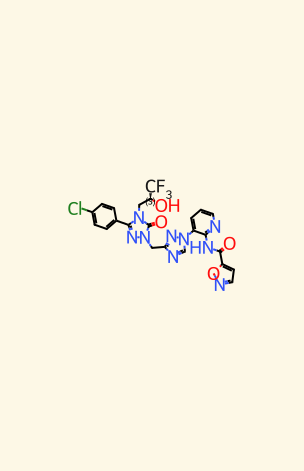 O=C(Nc1ncccc1-n1cnc(Cn2nc(-c3ccc(Cl)cc3)n(C[C@H](O)C(F)(F)F)c2=O)n1)c1ccno1